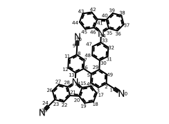 N#Cc1ccc(-c2cc(C#N)ccc2-n2c3ccccc3c3cc(C#N)ccc32)c(-c2ccc(-n3c4ccccc4c4ccccc43)cc2)c1